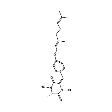 CC(C)=CCC/C(C)=C/COc1ccc(/C=C2\C(=O)N(O)[C@@H](C)C(=O)N2O)cc1